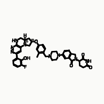 Cc1cc(O[C@@H]2C[C@H]3CNc4nnc(-c5cccc(F)c5O)cc4N3C2)ccc1CN1CCN(c2ccc3c(c2)C(=O)N(C2CCC(=O)NC2=O)C3)CC1